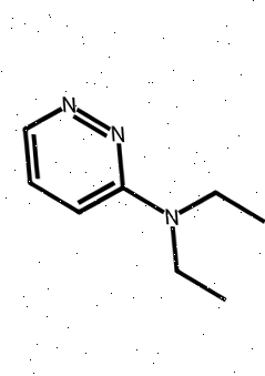 CCN(CC)c1cccnn1